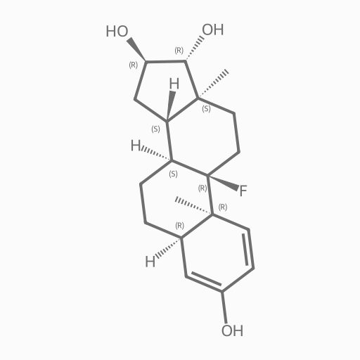 C[C@]12CC[C@@]3(F)[C@@H](CC[C@@H]4C=C(O)C=C[C@@]43C)[C@@H]1C[C@@H](O)[C@@H]2O